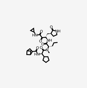 CCC[C@@H](C(=O)N[C@@H](C[C@@H]1CCNC1=O)C(=O)C(=O)NC1CC1)N(C)C(=O)[C@H](NC(=O)C1CC2CC1C2)C1CCCC1